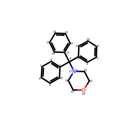 c1ccc(C(c2ccccc2)(c2ccccc2)[N+]2CCOCC2)cc1